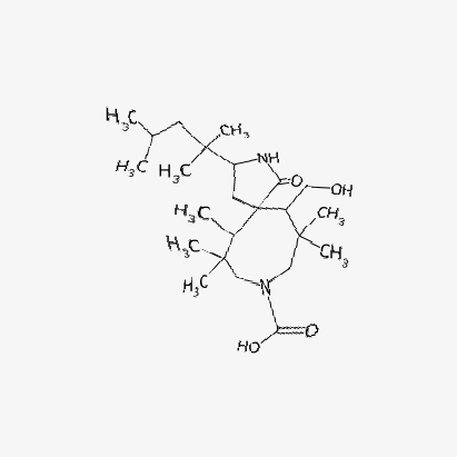 CC(C)CC(C)(C)C1CC2(C(=O)N1)C(C)C(C)(C)CN(C(=O)O)CC(C)(C)C2CO